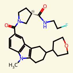 Cn1c2c(c3cc(C(=O)N4CC[C@H](C(=O)NCCF)C4)ccc31)CC(C1CCOCC1)CC2